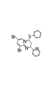 BrC1=CN2C(=NC(c3ccccn3)CC2Sc2ccccc2)C(Br)=C1